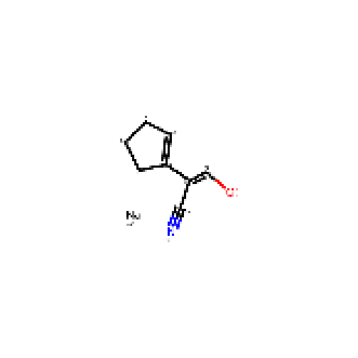 N#CC(=C[O-])C1=CCCC1.[Na+]